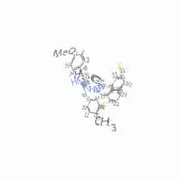 COc1ccc(CNN(Cc2ccc(C)cc2)N(Cc2ccccc2F)N(C)c2cccc(F)c2)cc1